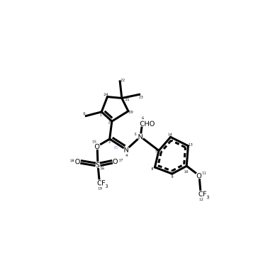 CC1=C(/C(=N\N(C=O)c2ccc(OC(F)(F)F)cc2)OS(=O)(=O)C(F)(F)F)CC(C)(C)C1